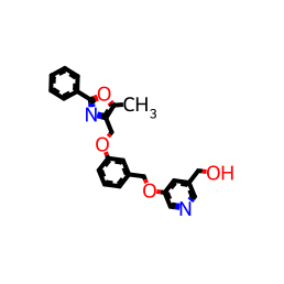 Cc1oc(-c2ccccc2)nc1COc1cccc(COc2cncc(CO)c2)c1